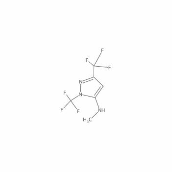 CNc1cc(C(F)(F)F)nn1C(F)(F)F